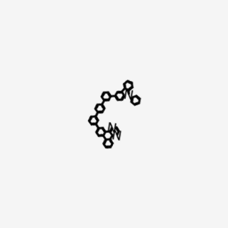 c1ccc(-n2c3ccccc3c3cc(-c4cccc(-c5ccc(-c6cccc(-c7ccc8c9ccccc9c9nccnc9c8c7)c6)cc5)c4)ccc32)cc1